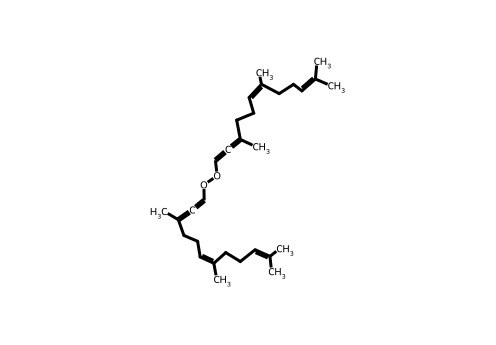 CC(=C=COOC=C=C(C)CCC=C(C)CCC=C(C)C)CCC=C(C)CCC=C(C)C